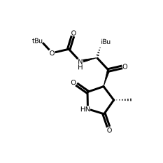 CC[C@@H](C)[C@H](NC(=O)OC(C)(C)C)C(=O)[C@@H]1C(=O)NC(=O)[C@H]1C